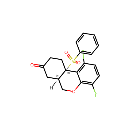 O=C1CC[C@@]2(S(=O)(=O)c3ccccc3)c3c(F)ccc(F)c3OC[C@H]2C1